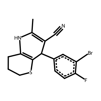 CC1=C(C#N)C(c2ccc(F)c(Br)c2)C2=C(CCCS2)N1